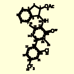 CC(=O)OC1Cc2ccccc2C1Nc1c(C)nc(-c2ccc(C(F)(F)F)cc2Cl)n(C)c1=O